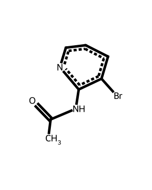 CC(=O)Nc1ncccc1Br